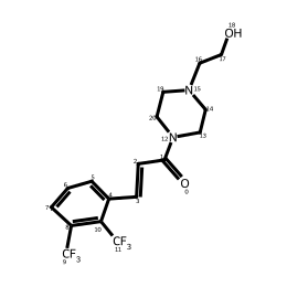 O=C(/C=C/c1cc[c]c(C(F)(F)F)c1C(F)(F)F)N1CCN(CCO)CC1